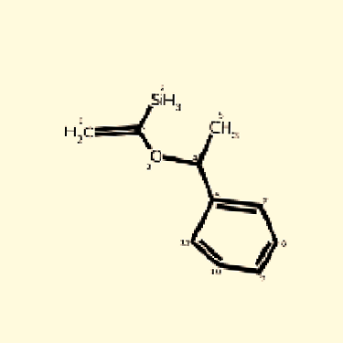 C=C([SiH3])OC(C)c1ccccc1